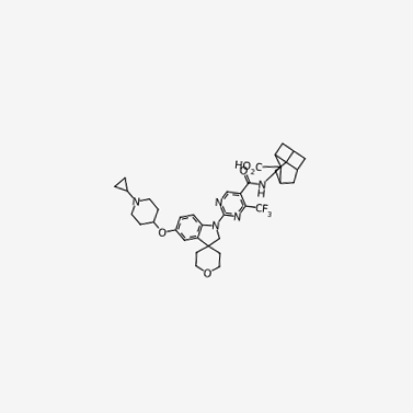 O=C(NC1(C(=O)O)C2CC3CC4CC1C34C2)c1cnc(N2CC3(CCOCC3)c3cc(OC4CCN(C5CC5)CC4)ccc32)nc1C(F)(F)F